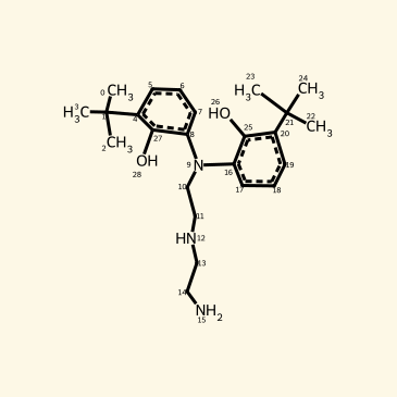 CC(C)(C)c1cccc(N(CCNCCN)c2cccc(C(C)(C)C)c2O)c1O